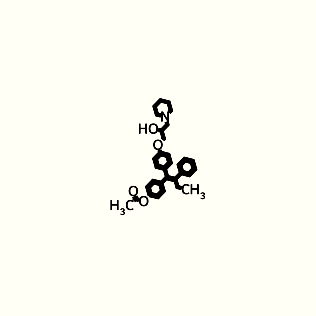 CCC(=C(c1ccc(OCC(O)CN2CCCCC2)cc1)c1ccc(OC(C)=O)cc1)c1ccccc1